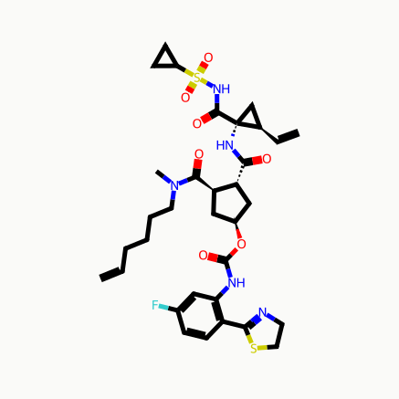 C=CCCCCN(C)C(=O)[C@@H]1C[C@H](OC(=O)Nc2cc(F)ccc2C2=NCCS2)C[C@H]1C(=O)N[C@]1(C(=O)NS(=O)(=O)C2CC2)C[C@H]1C=C